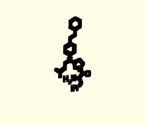 CC(C)=CCN(c1ccc(CCC2CCCCC2)cc1)[C@H]1CCN(C(=O)C(N)CC(C)C)C1